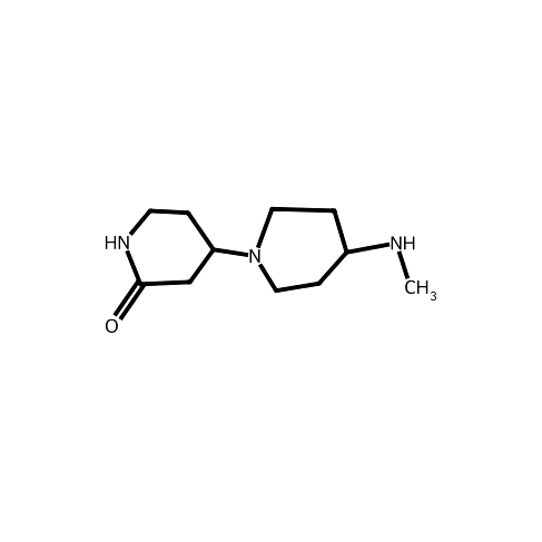 CNC1CCN(C2CCNC(=O)C2)CC1